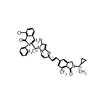 C[C@@H](C1CC1)N1Cc2cc(/C=C/C3=NC4=CC(N)N([C@@H](C)c5cc6cccc(Cl)c6c(=O)n5-c5ccccc5)N4C=C3)cc(C(F)(F)F)c2C1=O